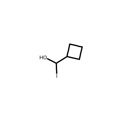 OC(I)C1CCC1